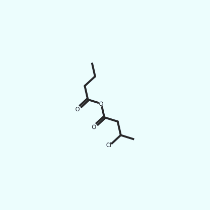 CCCC(=O)OC(=O)CC(C)Cl